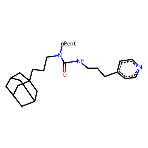 CCCCCN(CCCC12CC3CC(CC(C3)C1)C2)C(=O)NCCCc1ccncc1